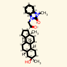 Cn1c(=O)n(CC(=O)[C@H]2CC[C@H]3[C@@H]4CC[C@@H]5C[C@](C)(O)CC[C@@H]5[C@H]4CC[C@]23C)c2ccccc21